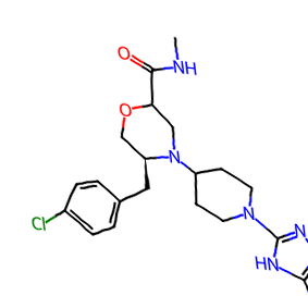 CNC(=O)C1CN(C2CCN(c3nnc(N)[nH]3)CC2)[C@@H](Cc2ccc(Cl)cc2)CO1